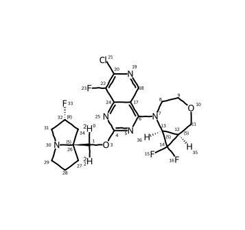 [2H]C([2H])(Oc1nc(N2CCOC[C@@H]3[C@H]2C3(F)F)c2cnc(Cl)c(F)c2n1)[C@@]12CCCN1C[C@H](F)C2